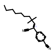 CCCCCCCC(C)(C)/C=C(\C#N)c1ccc(C#N)cc1